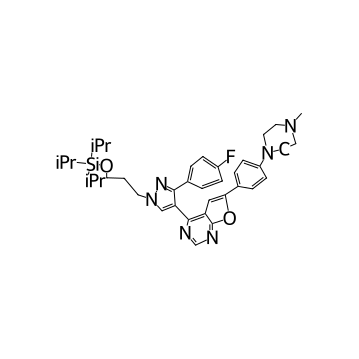 CC(C)[Si](OCCCn1cc(-c2ncnc3oc(-c4ccc(N5CCN(C)CC5)cc4)cc23)c(-c2ccc(F)cc2)n1)(C(C)C)C(C)C